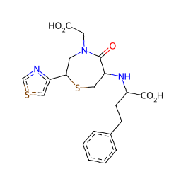 O=C(O)CN1CC(c2cscn2)SCC(NC(CCc2ccccc2)C(=O)O)C1=O